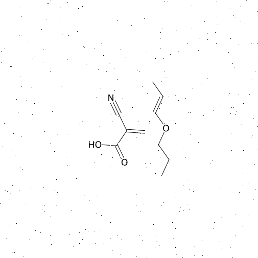 C=C(C#N)C(=O)O.CC=COCCC